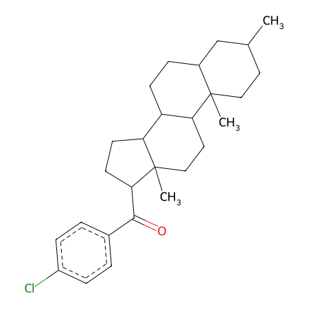 CC1CCC2(C)C(CCC3C2CCC2(C)C(C(=O)c4ccc(Cl)cc4)CCC32)C1